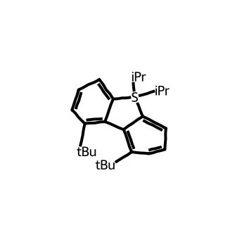 CC(C)S1(C(C)C)c2cccc(C(C)(C)C)c2-c2c(C(C)(C)C)cccc21